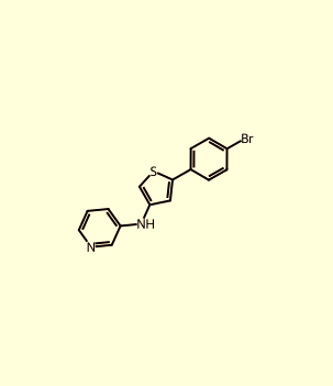 Brc1ccc(-c2cc(Nc3cccnc3)cs2)cc1